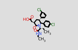 CCNC(=O)[C@@H](CC)N1C(=O)[C@@H](CC(=O)O)C[C@H](c2cccc(Cl)c2)C1c1ccc(Cl)cc1